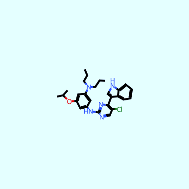 CCCN(CCC)c1cc(Nc2ncc(Cl)c(-c3c[nH]c4ccccc34)n2)cc(OC(C)C)c1